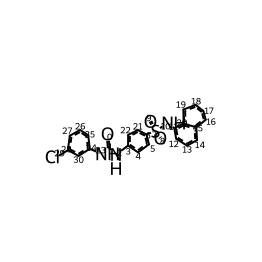 O=C(Nc1ccc(S(=O)(=O)Nc2cccc3ccccc23)cc1)Nc1cccc(Cl)c1